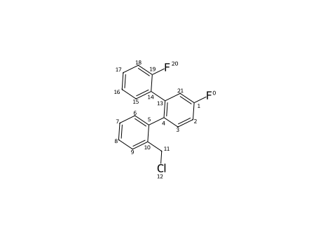 Fc1ccc(-c2ccccc2CCl)c(-c2ccccc2F)c1